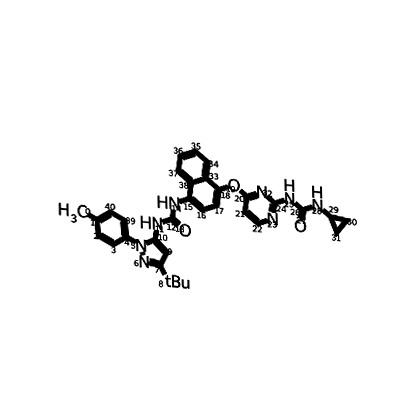 Cc1ccc(-n2nc(C(C)(C)C)cc2NC(=O)Nc2ccc(Oc3ccnc(NC(=O)NC4CC4)n3)c3ccccc23)cc1